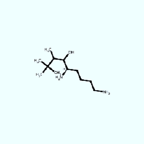 CC(C(O)[C@H](N)CCCCN)C(C)(C)C